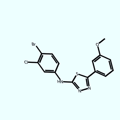 COc1cccc(-c2nnc(Nc3ccc(Br)c(Cl)c3)s2)c1